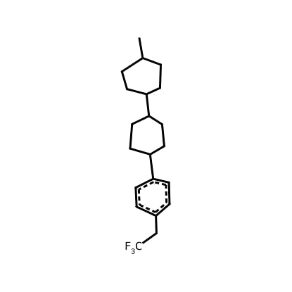 CC1CCC(C2CCC(c3ccc(CC(F)(F)F)cc3)CC2)CC1